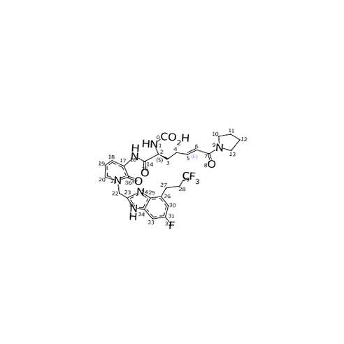 O=C(O)N[C@@H](CC/C=C/C(=O)N1CCCC1)C(=O)Nc1cccn(Cc2nc3c(CCC(F)(F)F)cc(F)cc3[nH]2)c1=O